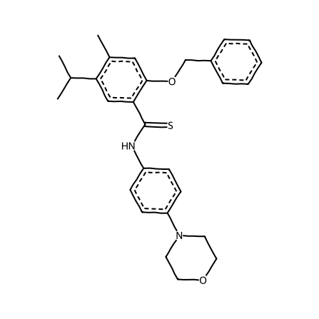 Cc1cc(OCc2ccccc2)c(C(=S)Nc2ccc(N3CCOCC3)cc2)cc1C(C)C